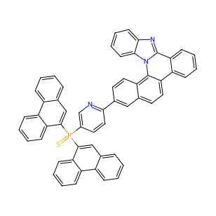 S=P(c1ccc(-c2ccc3c(ccc4c5ccccc5c5nc6ccccc6n5c34)c2)nc1)(c1cc2ccccc2c2ccccc12)c1cc2ccccc2c2ccccc12